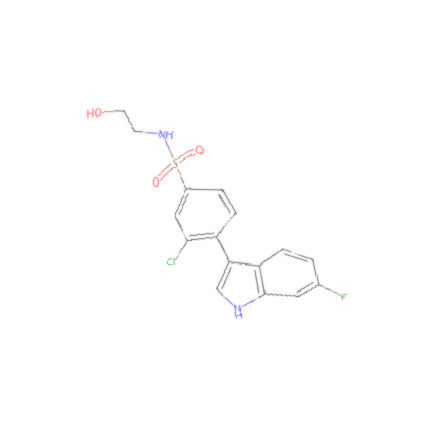 O=S(=O)(NCCO)c1ccc(-c2c[nH]c3cc(F)ccc23)c(Cl)c1